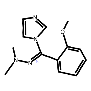 COc1ccccc1/C(=N/N(C)C)n1ccnc1